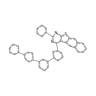 c1ccc(-c2ccc(-c3cccc(-c4cccc(-c5nc(-c6ccccc6)nc6sc7cc8ccccc8cc7c56)c4)c3)cc2)cc1